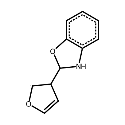 [CH]1OC=CC1C1Nc2ccccc2O1